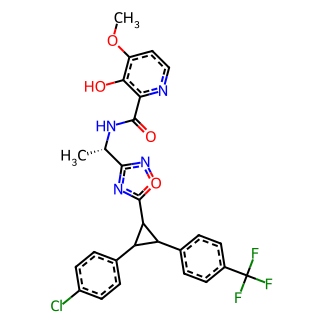 COc1ccnc(C(=O)N[C@@H](C)c2noc(C3C(c4ccc(Cl)cc4)C3c3ccc(C(F)(F)F)cc3)n2)c1O